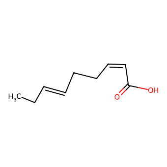 CCC=CCC/C=C\C(=O)O